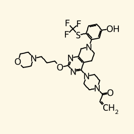 C=CC(=O)N1CCN(c2nc(OCCCN3CCOCC3)nc3c2CCN(c2cc(O)ccc2SC(F)(F)F)C3)CC1